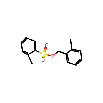 Cc1ccccc1COS(=O)(=O)c1ccccc1C